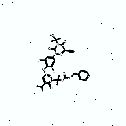 COC(C)(C)n1c(=O)c(C#N)nn(-c2cc(Cl)c(Oc3cc(C(C)C)c(=O)n(C(C)(C)OC(=O)OCc4ccccc4)n3)c(Cl)c2)c1=O